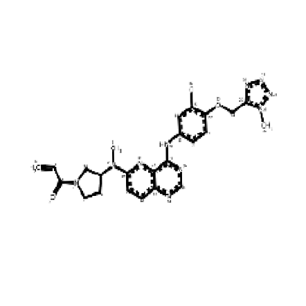 C=CC(=O)N1CCC(N(C)c2ccc3ncnc(Nc4ccc(OCc5nnnn5C)c(Cl)c4)c3n2)C1